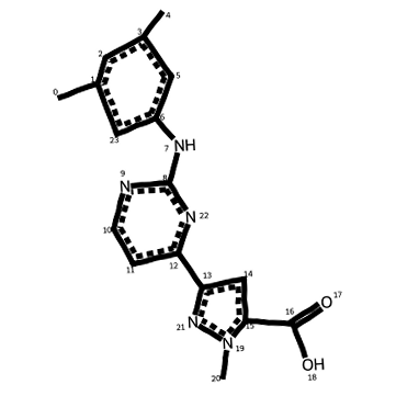 Cc1cc(C)cc(Nc2nccc(-c3cc(C(=O)O)n(C)n3)n2)c1